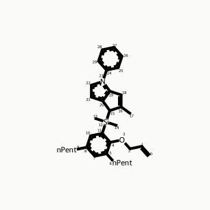 C=CCOc1c(CCCCC)cc(CCCCC)cc1[Si](C)(C)C1C(C)=Cc2c1ccn2-c1ccccc1